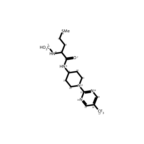 CSCCC(NC(=O)O)C(=O)NC1CCN(c2ncc(C(F)(F)F)cn2)CC1